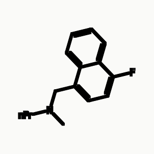 CCCN(C)Cc1ccc(F)c2ccccc12